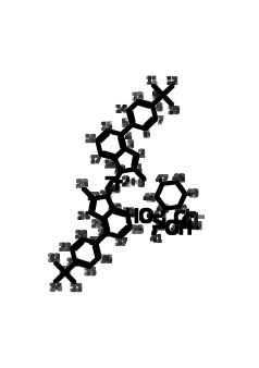 CC1=Cc2c(-c3ccc(C(C)(C)C)cc3)cccc2[CH]1[Zr+2][CH]1C(C)=Cc2c(-c3ccc(C(C)(C)C)cc3)cccc21.C[Si](O)(O)C1CCCCC1.[Cl-].[Cl-]